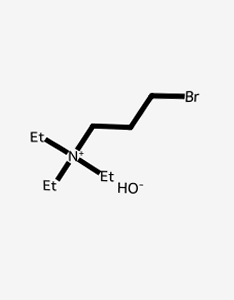 CC[N+](CC)(CC)CCCBr.[OH-]